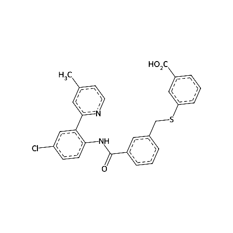 Cc1ccnc(-c2cc(Cl)ccc2NC(=O)c2cccc(CSc3cccc(C(=O)O)c3)c2)c1